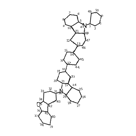 C1CCC(N2C3CCCCC3C3CC(C4CCC(C5CCC6C(C5)C5CCCCC5N6C5CCC6OC7CCCCC7C6C5)CC4)CCC32)CC1